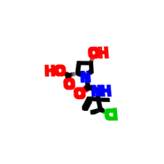 C=CC(C)(NC(=O)N1C[C@@H](O)C[C@H]1C(=O)O)[C@H](C)Cl